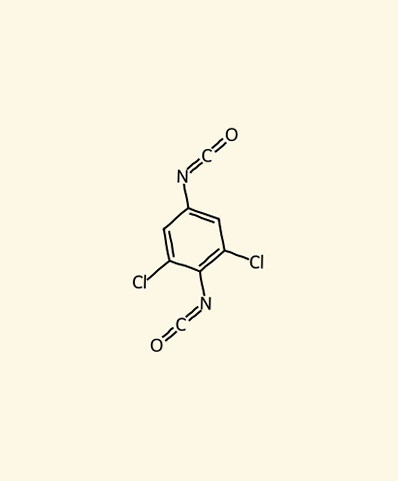 O=C=Nc1cc(Cl)c(N=C=O)c(Cl)c1